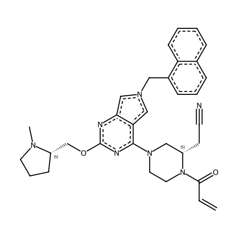 C=CC(=O)N1CCN(c2nc(OC[C@@H]3CCCN3C)nc3cn(Cc4cccc5ccccc45)cc23)C[C@@H]1CC#N